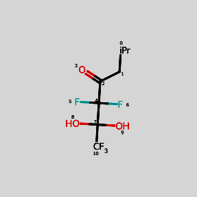 CC(C)CC(=O)C(F)(F)C(O)(O)C(F)(F)F